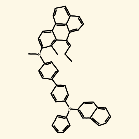 CC/C=c1/c2cccc3cccc(c4ccc(N(C)c5ccc(-c6ccc(N(c7ccccc7)c7ccc8ccccc8c7)cc6)cc5)c(C)c14)c32